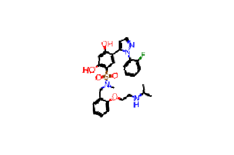 CC(C)NCCOc1ccccc1CN(C)S(=O)(=O)c1cc(-c2ccnn2-c2ccccc2F)c(O)cc1O